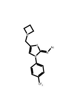 CC(=O)/N=c1\sc(CN2CCC2)cn1-c1ccc(C(F)(F)F)cc1